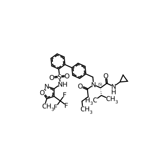 CCCC(=O)N(Cc1ccc(-c2ccccc2S(=O)(=O)Nc2noc(C)c2C(F)(F)F)cc1)[C@H](C(=O)NC1CC1)C(C)C